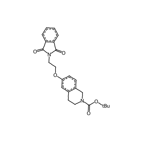 CC(C)(C)OC(=O)N1CCc2cc(OCCN3C(=O)c4ccccc4C3=O)ccc2C1